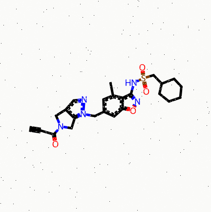 C#CC(=O)N1Cc2cnn(Cc3cc(C)c4c(NS(=O)(=O)CC5CCCCC5)noc4c3)c2C1